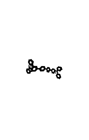 c1ccc(N(c2ccccc2)c2ccc(-c3ccc(-c4ccc(-c5cc6c7ccccc7n7c8ccccc8c(c5)c67)cc4)cc3)cc2)cc1